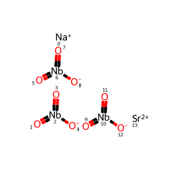 [Na+].[O]=[Nb](=[O])[O-].[O]=[Nb](=[O])[O-].[O]=[Nb](=[O])[O-].[Sr+2]